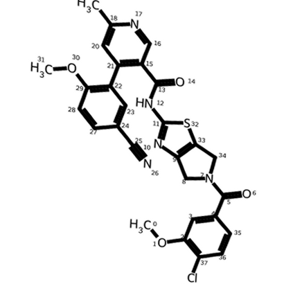 COc1cc(C(=O)N2Cc3nc(NC(=O)c4cnc(C)cc4-c4cc(C#N)ccc4OC)sc3C2)ccc1Cl